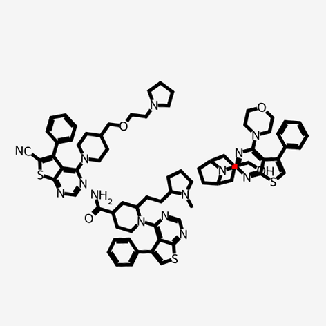 CN1CCCC1CCC1CC(C(N)=O)CCN1c1ncnc2scc(-c3ccccc3)c12.N#Cc1sc2ncnc(N3CCC(COCCN4CCCC4)CC3)c2c1-c1ccccc1.OCC1CC2CCC(C1)N2c1nc(N2CCOCC2)c2c(-c3ccccc3)csc2n1